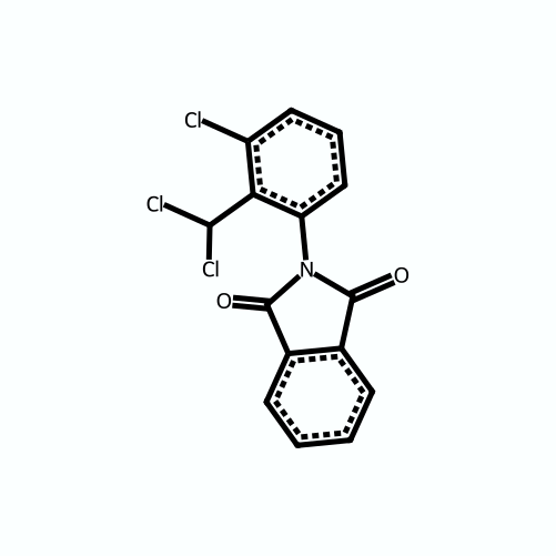 O=C1c2ccccc2C(=O)N1c1cccc(Cl)c1C(Cl)Cl